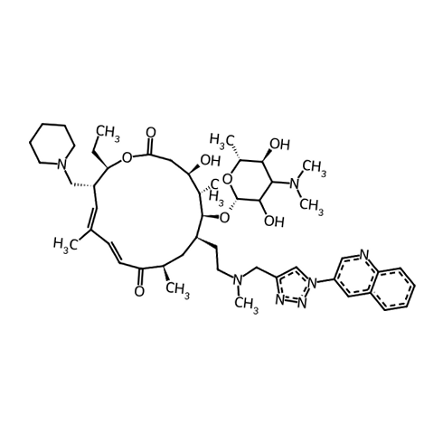 CC[C@H]1OC(=O)C[C@@H](O)[C@H](C)[C@@H](O[C@@H]2O[C@H](C)[C@@H](O)C(N(C)C)C2O)[C@@H](CCN(C)Cc2cn(-c3cnc4ccccc4c3)nn2)C[C@@H](C)C(=O)/C=C/C(C)=C/[C@@H]1CN1CCCCC1